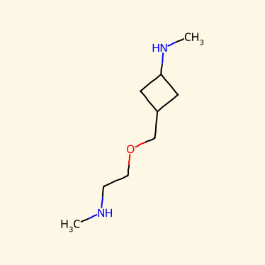 CNCCOCC1CC(NC)C1